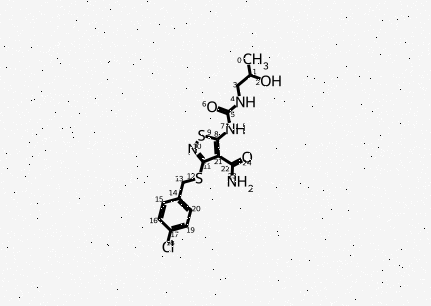 CC(O)CNC(=O)Nc1snc(SCc2ccc(Cl)cc2)c1C(N)=O